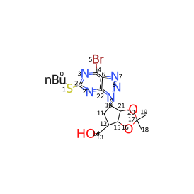 CCCCSc1nc(Br)c2nnn(C3CC(CO)C4OC(C)(C)OC43)c2n1